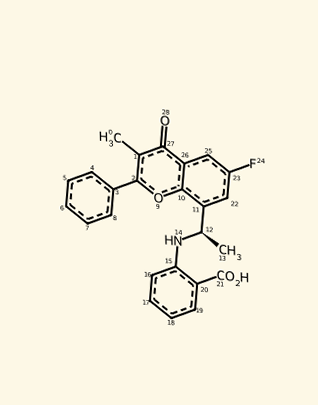 Cc1c(-c2ccccc2)oc2c([C@@H](C)Nc3ccccc3C(=O)O)cc(F)cc2c1=O